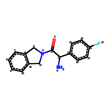 NC(C(=O)N1Cc2ccccc2C1)c1ccc(F)cc1